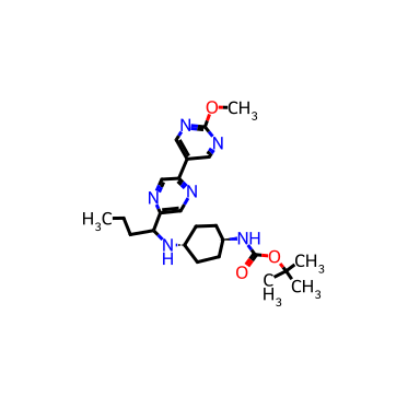 CCCC(N[C@H]1CC[C@H](NC(=O)OC(C)(C)C)CC1)c1cnc(-c2cnc(OC)nc2)cn1